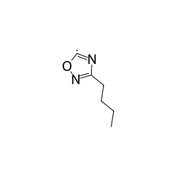 CCCCc1n[c]on1